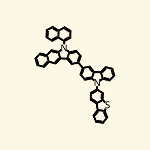 c1ccc2cc3c(cc2c1)c1cc(-c2ccc4c(c2)c2ccccc2n4-c2ccc4c(c2)sc2ccccc24)ccc1n3-c1cccc2ccccc12